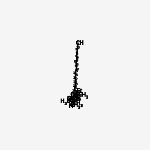 C#CC#CC#CC#CC#CC#CC#CC#CC#CC#CC#CCC(CC)C1C(=O)N(C2CC(C)(C)NC(C)(C)C2)C(=O)C1C